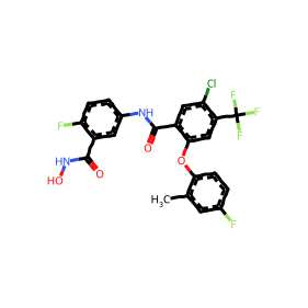 Cc1cc(F)ccc1Oc1cc(C(F)(F)F)c(Cl)cc1C(=O)Nc1ccc(F)c(C(=O)NO)c1